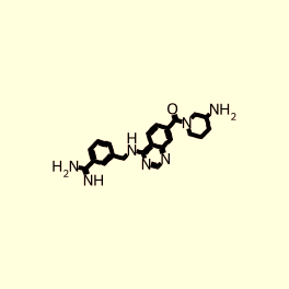 N=C(N)c1cccc(CNc2ncnc3cc(C(=O)N4CCCC(N)C4)ccc23)c1